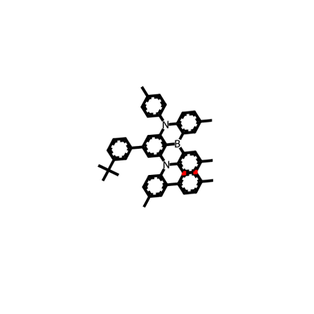 Cc1ccc(-c2cc(C)ccc2N2c3ccc(C)cc3B3c4cc(C)ccc4N(c4ccc(C)cc4)c4cc(-c5cccc(C(C)(C)C)c5)cc2c43)cc1